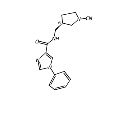 N#CN1CC[C@H](CNC(=O)c2cn(-c3ccccc3)cn2)C1